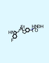 CCN(CCc1c[nH]c2cc(F)ccc12)C1CCc2cc(/C(C)=C/C(=O)NO)ccc21